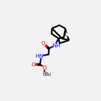 CC(C)(C)OC(=O)NCC(=O)NC12CC3CC(CC(C3)C1)C2